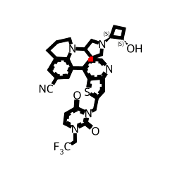 N#Cc1cc2c(c(-c3ccnc4cc(Cn5c(=O)ccn(CC(F)(F)F)c5=O)sc34)c1)N(C1CCN([C@H]3CC[C@@H]3O)C1)CCC2